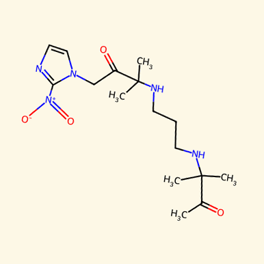 CC(=O)C(C)(C)NCCCNC(C)(C)C(=O)Cn1ccnc1[N+](=O)[O-]